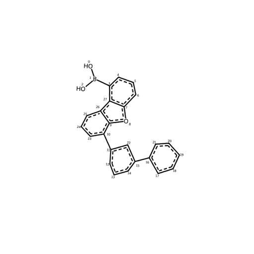 OB(O)c1cccc2oc3c(-c4cccc(-c5ccccc5)c4)cccc3c12